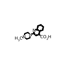 CN1CCN(c2cc(C(=O)O)c3ccccc3n2)CC1